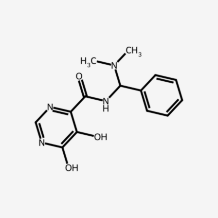 CN(C)C(NC(=O)c1ncnc(O)c1O)c1ccccc1